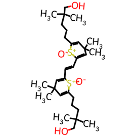 CC1(C)C=C(/C=C/C2=CC(C)(C)C=C(CCCC(C)(C)CO)[S+]2[O-])[S+]([O-])C(CCCC(C)(C)CO)=C1